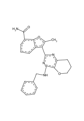 Cc1oc2c(C(N)=O)cccc2c1-c1nc2c(c(NCc3ccccc3)n1)OCCC2